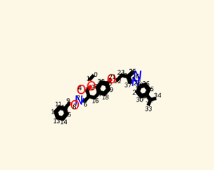 CCOC(=O)C(C=NOCc1ccccc1)Cc1ccc(OCCc2cnn(-c3ccc(C(C)C)cc3)c2)cc1